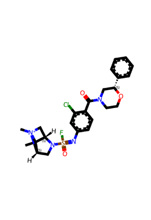 CC12[C@@H]3C[N+]1(C)[C@H]2CN3S(=O)(F)=Nc1ccc(C(=O)N2CCO[C@@H](c3ccccc3)C2)c(Cl)c1